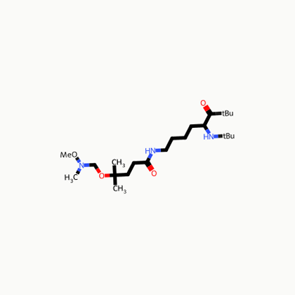 CON(C)COC(C)(C)CCC(=O)NCCCCC(NC(C)(C)C)C(=O)C(C)(C)C